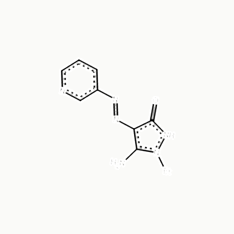 CCn1[nH]c(=O)c(/N=N/c2cccnc2)c1N